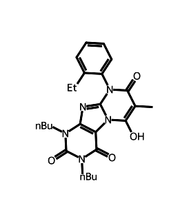 CCCCn1c(=O)c2c(nc3n(-c4ccccc4CC)c(=O)c(C)c(O)n23)n(CCCC)c1=O